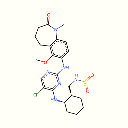 COc1c(Nc2ncc(Cl)c(N[C@@H]3CCCC[C@@H]3CN[SH](=O)=O)n2)ccc2c1CCCC(=O)N2C